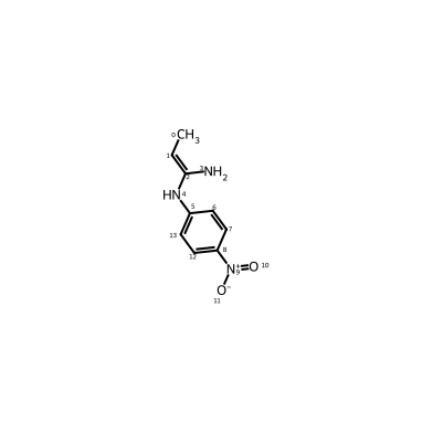 CC=C(N)Nc1ccc([N+](=O)[O-])cc1